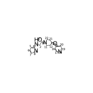 O=C(CNc1ccccn1)N1CCC(Oc2ccncc2)CC1